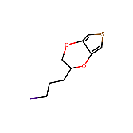 ICCCC1COc2cscc2O1